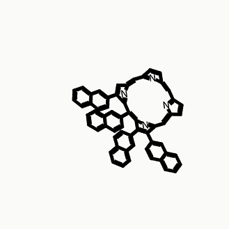 C1=CC2=NC1=CC1=NC(=C(c3ccc4ccccc4c3)C3=NC(=CC4=NC(=C2)C=C4)C=C3c2ccc3ccccc3c2)C(c2ccc3ccccc3c2)=C1c1ccc2ccccc2c1